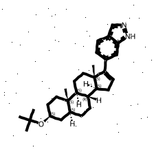 CC(C)(C)O[C@H]1CC[C@@]2(C)[C@@H](CC[C@@H]3[C@@H]2CC[C@]2(C)C(c4ccc5cn[nH]c5c4)=CC[C@@H]32)C1